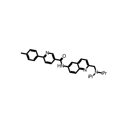 Cc1ccc(-c2ccc(C(=O)Nc3ccc4nc(CN(C(C)C)C(C)C)ccc4c3)cn2)cc1